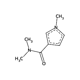 CN(C)C(=O)c1ccn(C)c1